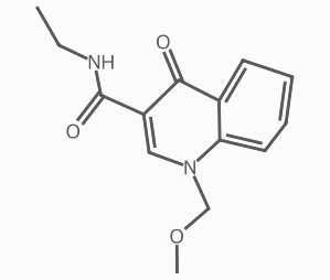 CCNC(=O)c1cn(COC)c2ccccc2c1=O